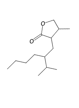 CCCCC(CC1C(=O)OCC1C)C(C)C